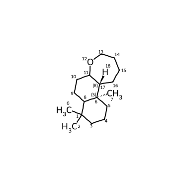 CC1(C)CCC[C@@]2(C)C1CCC1OCCCC[C@@H]12